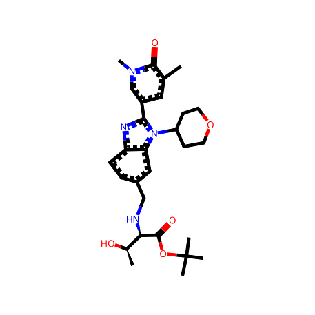 Cc1cc(-c2nc3ccc(CN[C@@H](C(=O)OC(C)(C)C)[C@@H](C)O)cc3n2C2CCOCC2)cn(C)c1=O